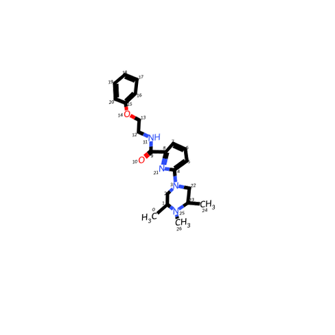 CC1CN(c2cccc(C(=O)NCCOc3ccccc3)n2)CC(C)N1C